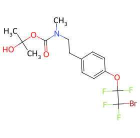 CN(CCc1ccc(OC(F)(F)C(F)(F)Br)cc1)C(=O)OC(C)(C)O